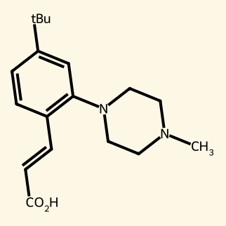 CN1CCN(c2cc(C(C)(C)C)ccc2C=CC(=O)O)CC1